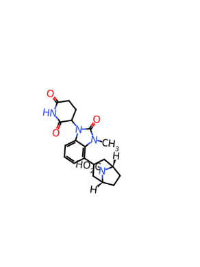 Cn1c(=O)n(C2CCC(=O)NC2=O)c2cccc(C3C[C@H]4CC[C@@H](C3)N4C(=O)O)c21